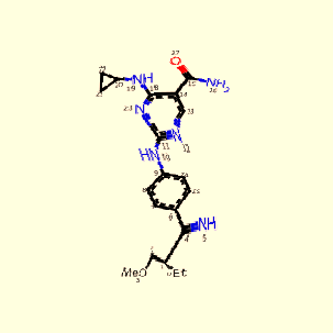 CC[C@@H](COC)C(=N)c1ccc(Nc2ncc(C(N)=O)c(NC3CC3)n2)cc1